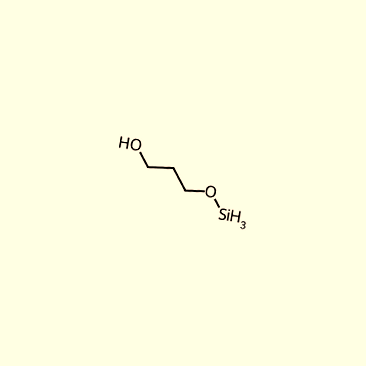 OCCCO[SiH3]